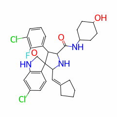 O=C(NC1CCC(O)CC1)C1NC(C=C2CCCC2)C2(C(=O)Nc3cc(Cl)ccc32)C1c1cccc(Cl)c1F